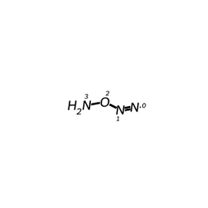 [N]=NON